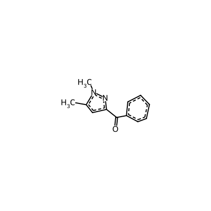 Cc1cc(C(=O)c2ccccc2)nn1C